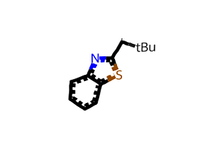 CC(C)(C)[CH]c1nc2ccccc2s1